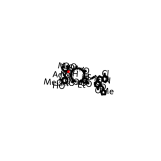 CC[C@H]1OC(=O)[C@H](C)[C@@H](O[C@H]2C[C@@](C)(OC)[C@@H](O)[C@H](C)O2)[C@H](C)[C@@H](O[C@@H]2O[C@H](C)C[C@H](N(C)C(C)=O)[C@H]2O)[C@](C)(OC)C[C@@H](C)C(=O)[C@H](C)[C@H]2[C@H](SCCN(Cc3c(Cl)cncc3Cl)c3ccc(OC)c(OC4CCCC4)c3)C(=O)O[C@@]21C